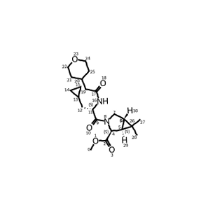 COC(=O)[C@@H]1[C@H]2[C@H](CN1C(=O)[C@H](CC1CC1)NC(=O)CC1CCOCC1)C2(C)C